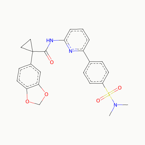 CN(C)S(=O)(=O)c1ccc(-c2cccc(NC(=O)C3(c4ccc5c(c4)OCO5)CC3)n2)cc1